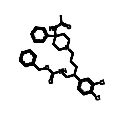 CC(=O)NC1(c2ccccc2)CCN(CCCC(CNC(=O)OCc2ccccc2)c2ccc(Cl)c(Cl)c2)CC1